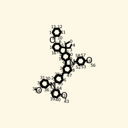 CCC1(CC)c2cc(Oc3ccccc3)ccc2-c2cc3c4cc(-c5ccc(N(c6cccc(OC)c6)c6cccc(OC)c6)cc5)ccc4n(-c4ccc(OC)cc4)c3cc21